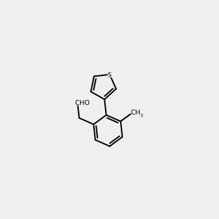 Cc1cccc(CC=O)c1-c1ccsc1